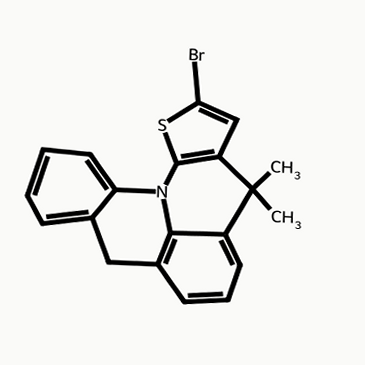 CC1(C)c2cc(Br)sc2N2c3ccccc3Cc3cccc1c32